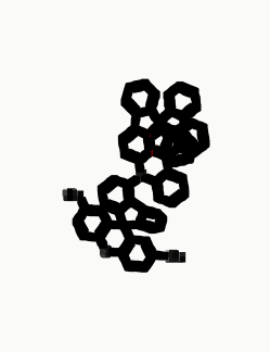 CC(C)(C)c1ccc2c(c1)C1(c3cc(C(C)(C)C)ccc3O2)c2ccccc2-c2c(N(c3ccc4c(c3)C3(c5ccccc5-c5ccccc53)c3ccccc3-4)c3ccccc3-c3cccc4ccccc34)cccc21